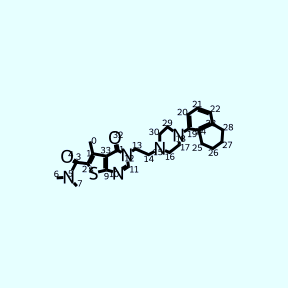 Cc1c(C(=O)N(C)C)sc2ncn(CCN3CCN(c4cccc5c4CCCC5)CC3)c(=O)c12